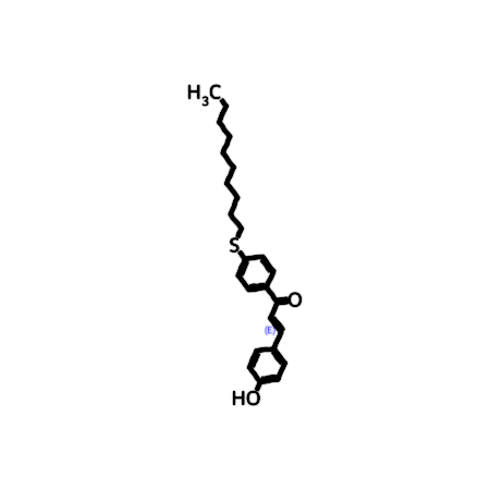 CCCCCCCCCCSc1ccc(C(=O)/C=C/c2ccc(O)cc2)cc1